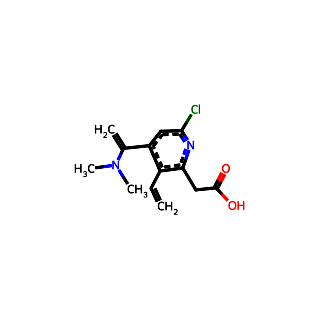 C=Cc1c(C(=C)N(C)C)cc(Cl)nc1CC(=O)O